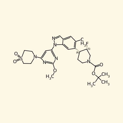 COc1nc(N2CCS(=O)(=O)CC2)cc(-n2ncc3cc(C)c([C@H]4CCN(C(=O)OC(C)(C)C)C[C@H]4F)cc32)n1